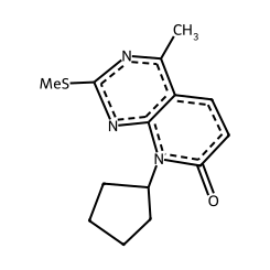 CSc1nc(C)c2ccc(=O)n(C3CCCC3)c2n1